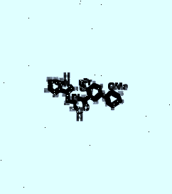 CCCOc1ccc(-c2ccccc2OC)cc1C(=O)N[C@@H](CO)Cc1c[nH]c2ccccc12